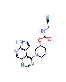 N#CCNC(=O)OC1CCCN(c2ncnc3cnc4[nH]ccc4c23)C1